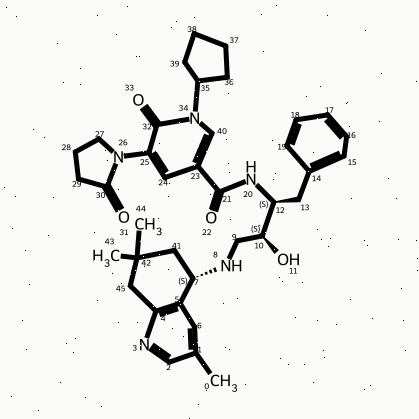 Cc1cnc2c(c1)[C@@H](NC[C@H](O)[C@H](Cc1ccccc1)NC(=O)c1cc(N3CCCC3=O)c(=O)n(C3CCCC3)c1)CC(C)(C)C2